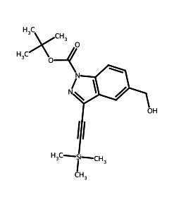 CC(C)(C)OC(=O)n1nc(C#C[Si](C)(C)C)c2cc(CO)ccc21